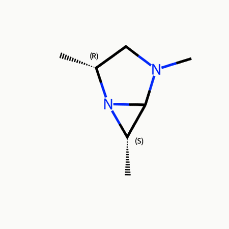 C[C@@H]1CN(C)C2[C@H](C)N21